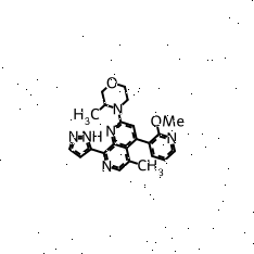 COc1ncccc1-c1cc(N2CCOCC2C)nc2c(-c3ccn[nH]3)ncc(C)c12